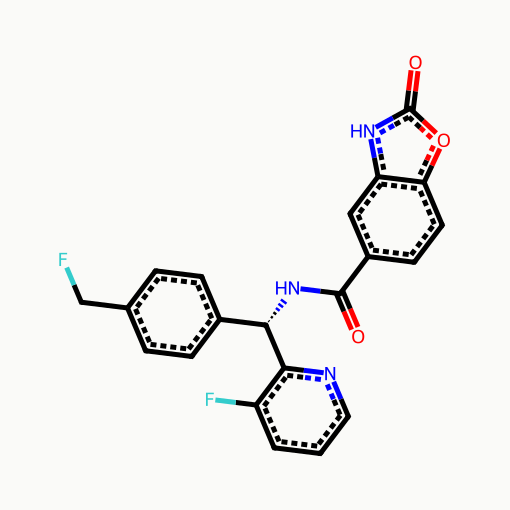 O=C(N[C@@H](c1ccc(CF)cc1)c1ncccc1F)c1ccc2oc(=O)[nH]c2c1